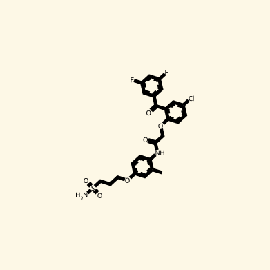 Cc1cc(OCCCS(N)(=O)=O)ccc1NC(=O)COc1ccc(Cl)cc1C(=O)c1cc(F)cc(F)c1